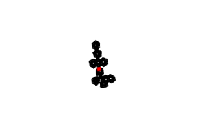 c1ccc(-c2ccc(-c3c4ccccc4c(-c4ccc(N(c5ccccn5)c5cc6ccccc6c6ccccc56)cc4)c4ccccc34)cc2)cc1